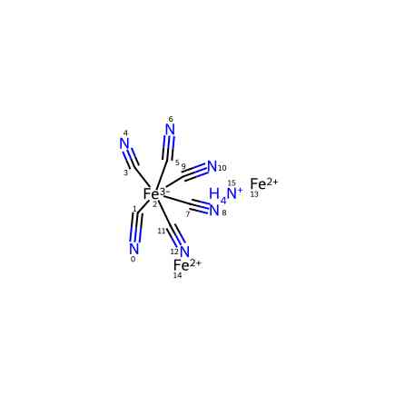 N#[C][Fe-3]([C]#N)([C]#N)([C]#N)([C]#N)[C]#N.[Fe+2].[Fe+2].[NH4+]